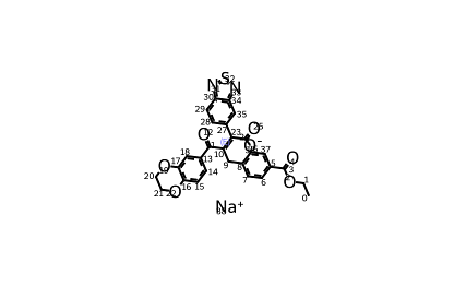 CCOC(=O)c1ccc(C/C(C(=O)c2ccc3c(c2)OCCO3)=C(\C(=O)[O-])c2ccc3nsnc3c2)cc1.[Na+]